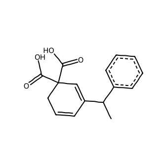 CC(C1=CC(C(=O)O)(C(=O)O)CC=C1)c1ccccc1